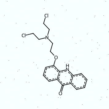 O=c1c2ccccc2[nH]c2c(OCCN(CCCl)CCCl)cccc12